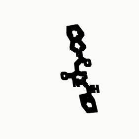 O=C1N=C(NC2CC3C=CC2C3)SC1CC(=O)N1Cc2ccccc2C1